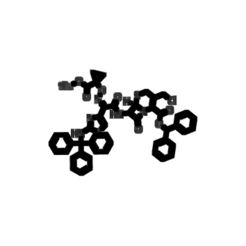 CC(C)(C)OC(=O)C1(O/N=C(\C(=O)NC2C(=O)N3C(C(=O)OC(c4ccccc4)c4ccccc4)=C(CCl)CS[C@@H]23)c2csc(NC(c3ccccc3)(c3ccccc3)c3ccccc3)n2)CC1